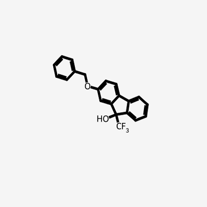 OC1(C(F)(F)F)c2ccccc2-c2ccc(OCc3ccccc3)cc21